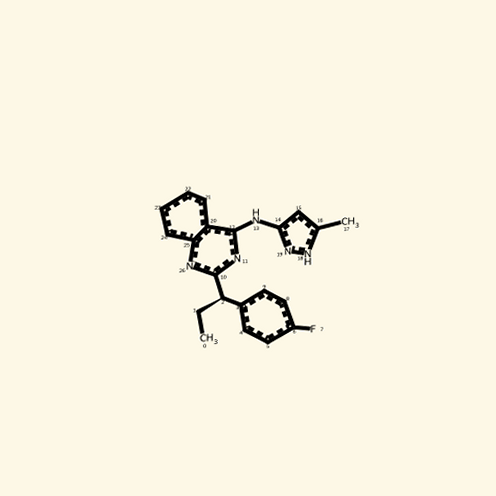 CC[C@H](c1ccc(F)cc1)c1nc(Nc2cc(C)[nH]n2)c2ccccc2n1